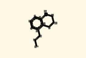 [CH2]CCc1cccc2c1CCCO2